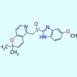 COc1ccc2[nH]c([S+]([O-])Cc3nccc4c3C=CC(C)(C)O4)nc2c1